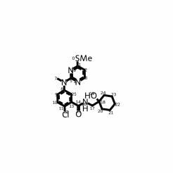 CSc1ccnc(N(C)c2ccc(Cl)c(C(=O)NCC3(O)CCCCC3)c2)n1